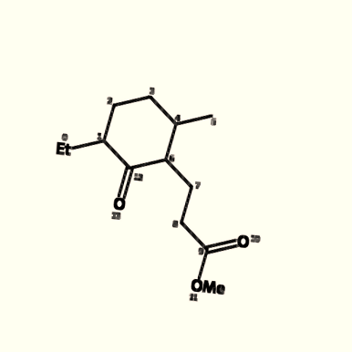 CCC1CCC(C)C(CCC(=O)OC)C1=O